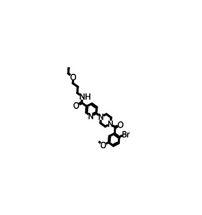 CCOCCCNC(=O)c1ccc(N2CCN(C(=O)c3cc(OC)ccc3Br)CC2)nc1